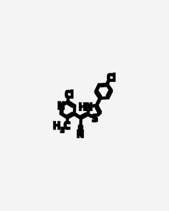 Cc1cnc(Cl)cc1C(C#N)=C1NC(c2ccc(Cl)cc2)=CS1